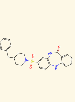 O=C1Nc2cc(S(=O)(=O)N3CCC(Cc4ccccc4)CC3)ccc2Nc2ccccc21